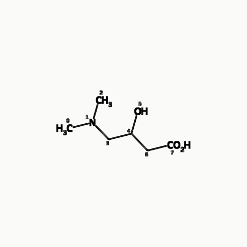 CN(C)CC(O)CC(=O)O